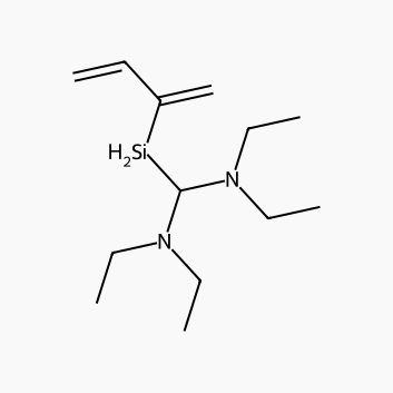 C=CC(=C)[SiH2]C(N(CC)CC)N(CC)CC